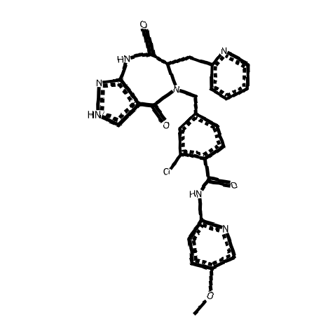 COc1ccc(NC(=O)c2ccc(CN3C(=O)c4c[nH]nc4NC(=O)C3Cc3ccccn3)cc2Cl)nc1